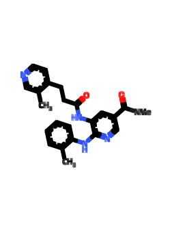 CNC(=O)c1cnc(Nc2ccccc2C)c(NC(=O)CCc2ccncc2C)c1